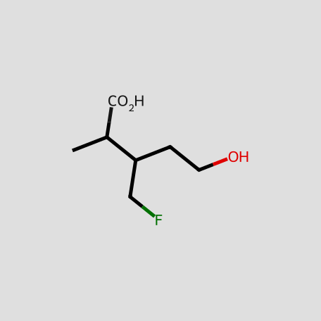 CC(C(=O)O)C(CF)CCO